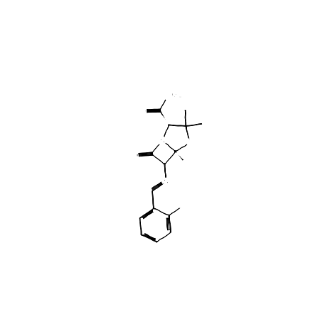 COC(=O)[C@@H]1N2C(=O)C(/N=C/c3ccccc3Cl)[C@H]2SC1(C)C